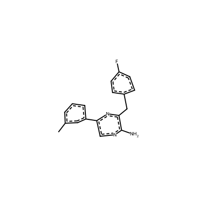 Cc1cccc(-c2cnc(N)c(Cc3ccc(F)cc3)n2)c1